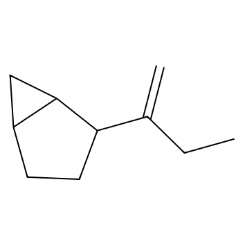 C=C(CC)C1CCC2CC21